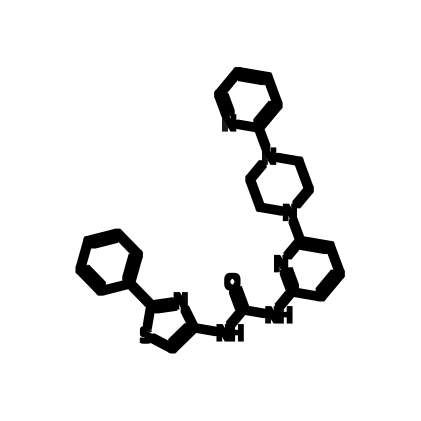 O=C(Nc1cccc(N2CCN(c3ccccn3)CC2)n1)Nc1csc(-c2ccccc2)n1